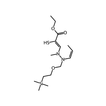 C/C=C\N(COCC[Si](C)(C)C)N(C)/C=C(\S)C(=O)OCC